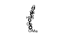 COc1ccc(OC(=O)c2ccc(NC(=O)c3cc4sc(N5CCOCC5)nc4s3)cc2)cc1